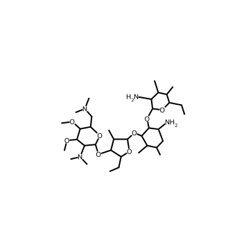 CCC1OC(OC2C(N)CC(C)C(C)C2OC2OC(CC)C(OC3OC(CN(C)C)C(OC)C(OC)C3N(C)C)C2C)C(N)C(C)C1C